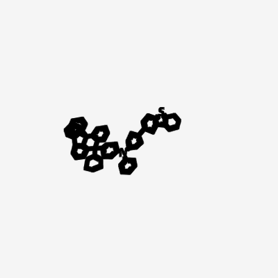 C1=CCCC(C2(c3ccc(N(c4ccccc4)c4ccc(-c5ccc6sc7c(c6c5)C=CCC7)cc4)cc3)c3ccccc3C3(c4ccccc4)c4ccccc4-c4cccc2c43)=C1